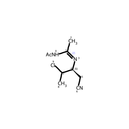 CC(=O)N/C(C)=N\[C@@H](CC#N)C(C)Cl